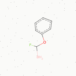 BC(F)Oc1ccccc1